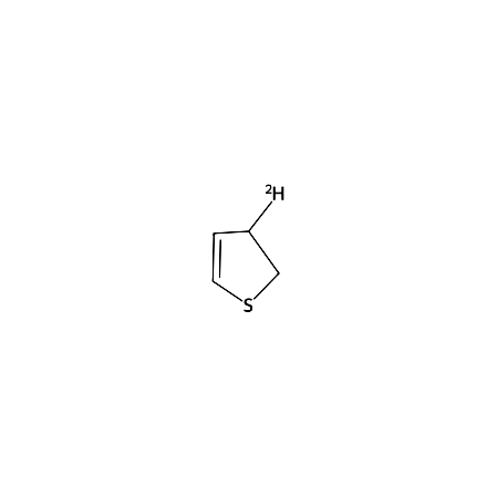 [2H]C1C=CSC1